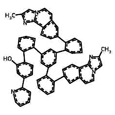 Cc1cn2ccc3cc(-c4ccccc4-c4cc(-c5ccccc5-c5ccc6c(ccn7cc(C)nc67)c5)cc(-c5ccccc5-c5ccc(-c6ccccn6)cc5O)c4)ccc3c2n1